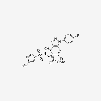 CCCn1cc(S(=O)(=O)N(C)C[C@@]2(C(=O)OC)Cc3cnn(-c4ccc(F)cc4)c3C=C2CC)cn1